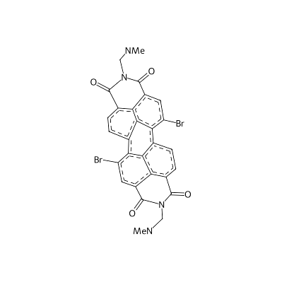 CNCN1C(=O)c2ccc3c4c(Br)cc5c6c(ccc(c7c(Br)cc(c2c37)C1=O)c64)C(=O)N(CNC)C5=O